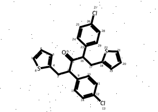 O=C(C(Cc1cccs1)c1ccc(Cl)cc1)C(Cc1cccs1)c1ccc(Cl)cc1